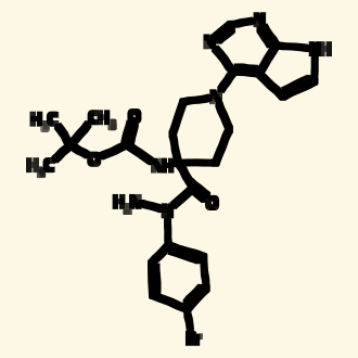 CC(C)(C)OC(=O)NC1(C(=O)N(N)c2ccc(Br)cc2)CCN(c2ncnc3[nH]ccc23)CC1